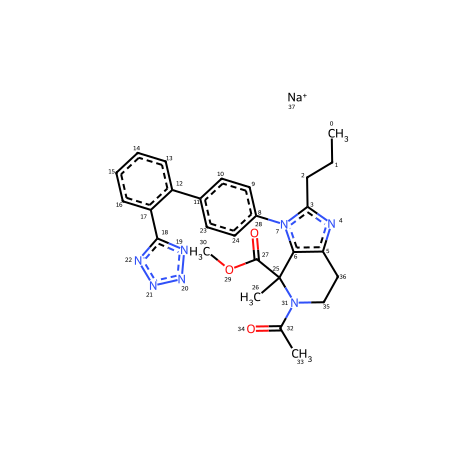 CCCc1nc2c(n1-c1ccc(-c3ccccc3-c3nnn[n-]3)cc1)C(C)(C(=O)OC)N(C(C)=O)CC2.[Na+]